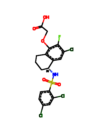 O=C(O)COc1c(F)c(Cl)cc2c1CCC[C@H]2NS(=O)(=O)c1ccc(Cl)cc1Cl